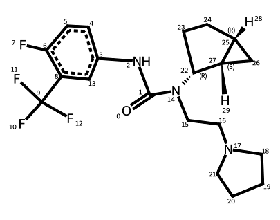 O=C(Nc1ccc(F)c(C(F)(F)F)c1)N(CCN1CCCC1)[C@@H]1CC[C@@H]2C[C@@H]21